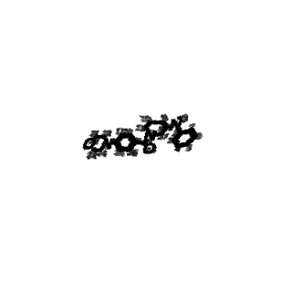 CN(c1ccccc1)[C@@H]1CCCN(C(=O)c2ccc(N3CCOCC3)cc2)C1